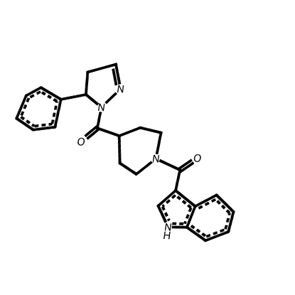 O=C(c1c[nH]c2ccccc12)N1CCC(C(=O)N2N=CCC2c2ccccc2)CC1